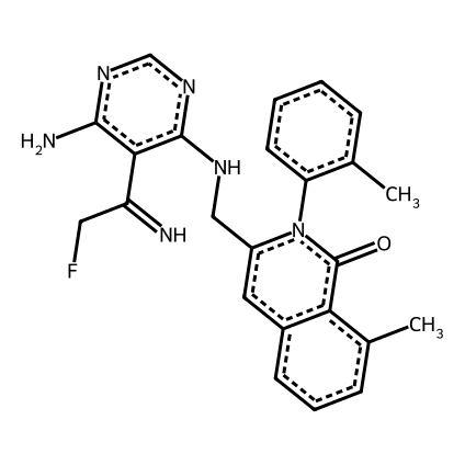 Cc1ccccc1-n1c(CNc2ncnc(N)c2C(=N)CF)cc2cccc(C)c2c1=O